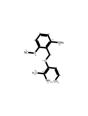 C/C=C\C(OCc1c(OC#N)cccc1SC)=C(\C)N